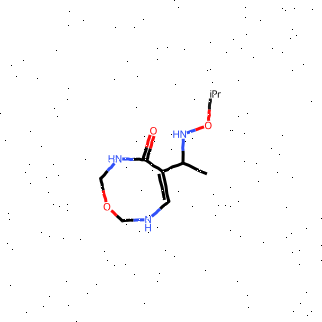 CC(C)ONC(C)/C1=C/NCOCNC1=O